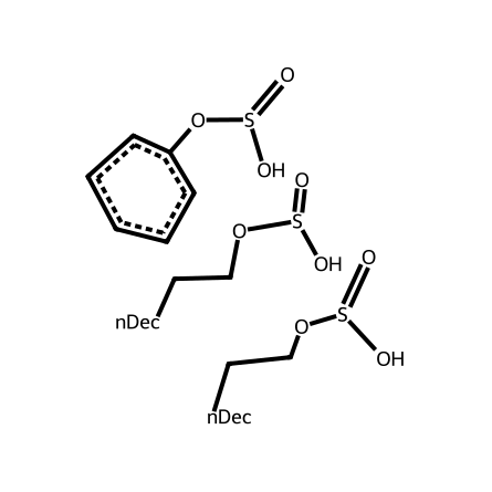 CCCCCCCCCCCCOS(=O)O.CCCCCCCCCCCCOS(=O)O.O=S(O)Oc1ccccc1